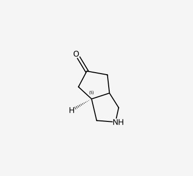 O=C1CC2CNC[C@H]2C1